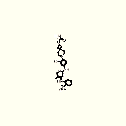 Cc1cnc(Nc2ccc(N3CCC4(CC3)CC(OC(N)=O)C4)c(Cl)c2)nc1Nc1ccccc1P(C)(C)=O